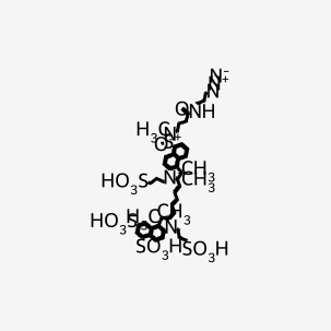 CN(CCCC(=O)NCCCN=[N+]=[N-])[S+]([O-])c1cccc2c3c(ccc12)[N+](CCCS(=O)(=O)O)=C(/C=C/C=C/C=C1/N(CCCS(=O)(=O)O)c2ccc4c(S(=O)(=O)O)cc(S(=O)(=O)O)cc4c2C1(C)C)C3(C)C